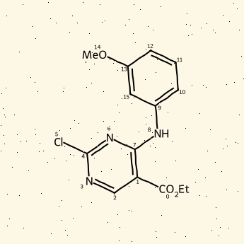 CCOC(=O)c1cnc(Cl)nc1Nc1cccc(OC)c1